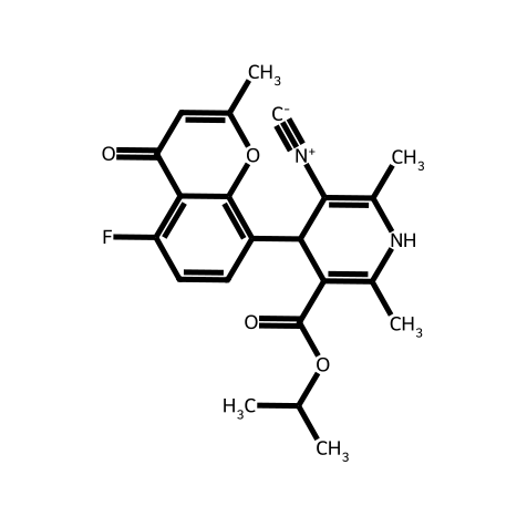 [C-]#[N+]C1=C(C)NC(C)=C(C(=O)OC(C)C)C1c1ccc(F)c2c(=O)cc(C)oc12